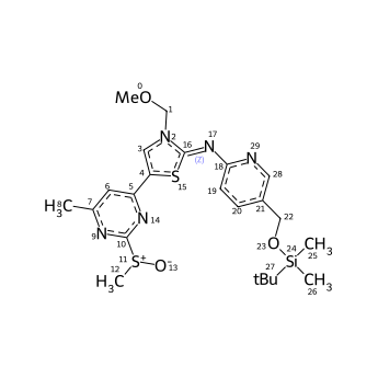 COCn1cc(-c2cc(C)nc([S+](C)[O-])n2)s/c1=N\c1ccc(CO[Si](C)(C)C(C)(C)C)cn1